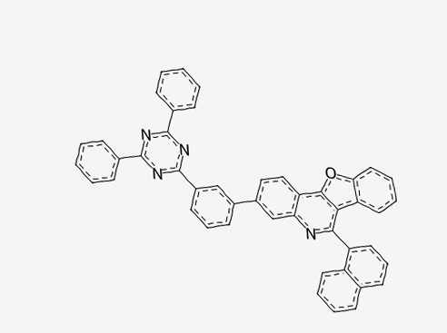 c1ccc(-c2nc(-c3ccccc3)nc(-c3cccc(-c4ccc5c(c4)nc(-c4cccc6ccccc46)c4c6ccccc6oc54)c3)n2)cc1